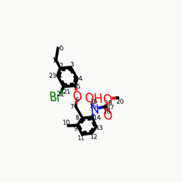 CCc1ccc(OCc2c(C)cccc2N(O)C(=O)OC)c(Br)c1